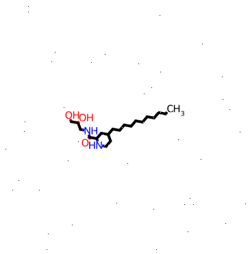 CCCCCCCCCCCC1CCNC(C(=O)NCC(O)CO)C1